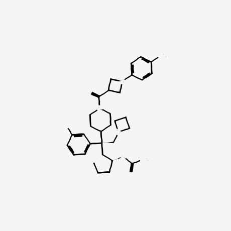 COC(=O)N[C@H]1CCC[C@@H]1[C@](CN1CCC1)(c1cccc(F)c1)C1CCN(C(=O)C2CN(c3ccc(C#N)cc3)C2)CC1